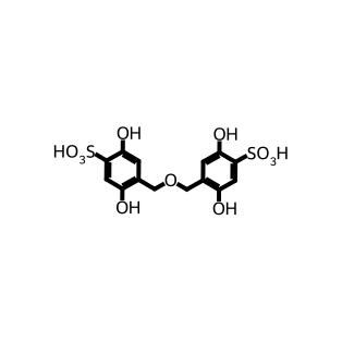 O=S(=O)(O)c1cc(O)c(COCc2cc(O)c(S(=O)(=O)O)cc2O)cc1O